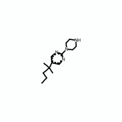 CCCC(C)(C)c1cnc(N2CCNCC2)nc1